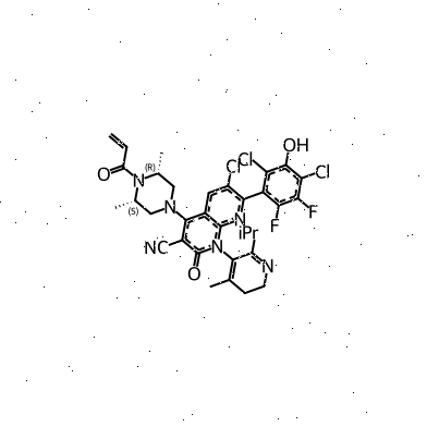 C=CC(=O)N1[C@H](C)CN(c2c(C#N)c(=O)n(C3=C(C)CCN=C3C(C)C)c3nc(-c4c(F)c(F)c(Cl)c(O)c4Cl)c(Cl)cc23)C[C@@H]1C